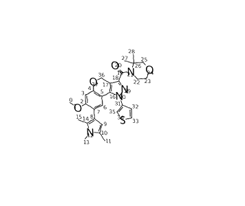 COc1cc2c(cc1-c1cc(C)n(C)c1C)-c1c(c(C(=O)N3CCOCC3(C)C)nn1-c1ccsc1)CO2